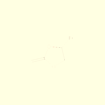 C=C1OCC(CC)O1